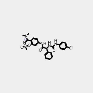 CN(C)/C(=N/S(C)(=O)=O)c1ccc(NC(=O)C(NC(=O)Nc2ccc(Cl)cc2)c2ccccc2)cc1